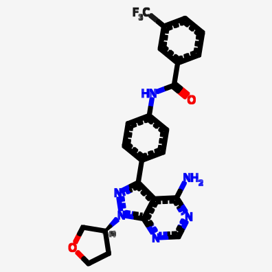 Nc1ncnc2c1c(-c1ccc(NC(=O)c3cccc(C(F)(F)F)c3)cc1)nn2[C@H]1CCOC1